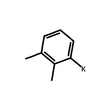 Cc1ccc[c]([K])c1C